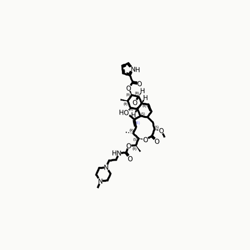 CO[C@H]1CC2C=C[C@H]3[C@H]4O[C@]2(/C(C)=C/[C@@H](C)[C@@H]([C@@H](C)OC(=O)NCCN2CCN(C)CC2)OC1=O)[C@@H]3[C@H](O)[C@@H](C)[C@H]4OC(=O)c1ccc[nH]1